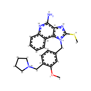 COc1cc(Cn2c(SC)nc3c(N)nc4ccccc4c32)ccc1CN1CCCC1